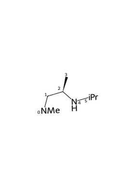 CNC[C@@H](C)NC(C)C